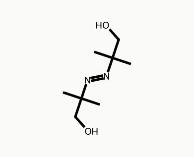 CC(C)(CO)N=NC(C)(C)CO